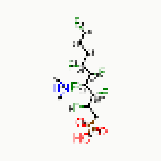 CNC.O=S(=O)(O)CC(F)C(F)C(F)C(F)C(F)CCCF